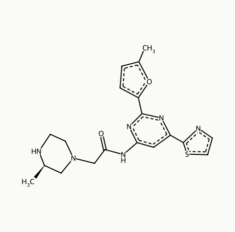 Cc1ccc(-c2nc(NC(=O)CN3CCN[C@H](C)C3)cc(-c3nccs3)n2)o1